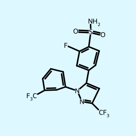 NS(=O)(=O)c1ccc(-c2cc(C(F)(F)F)nn2-c2cccc(C(F)(F)F)c2)cc1F